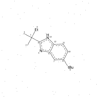 CCC(C)(C)c1nc2cc(C(C)(C)C)ccc2[nH]1